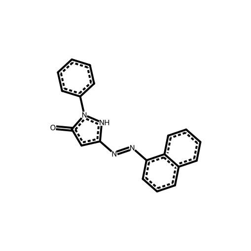 O=c1cc(N=Nc2cccc3ccccc23)[nH]n1-c1ccccc1